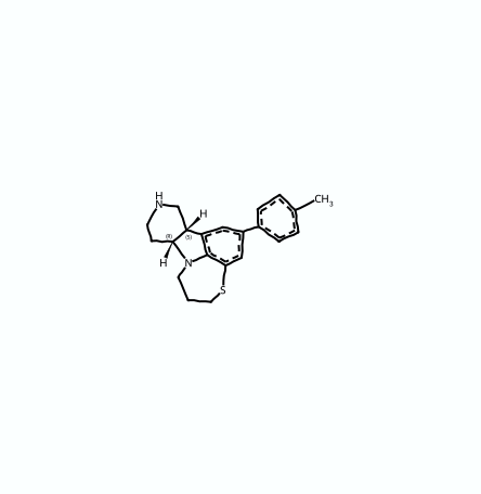 Cc1ccc(-c2cc3c4c(c2)[C@H]2CNCC[C@H]2N4CCCS3)cc1